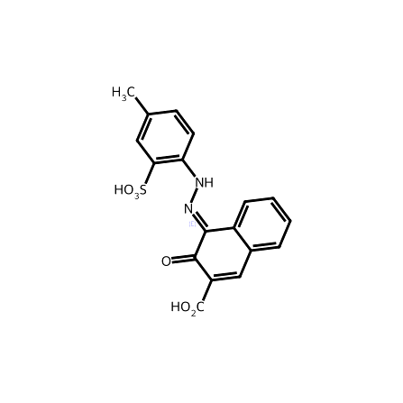 Cc1ccc(N/N=C2/C(=O)C(C(=O)O)=Cc3ccccc32)c(S(=O)(=O)O)c1